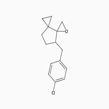 Clc1ccc(CC2CCC3(CC3)C23CO3)cc1